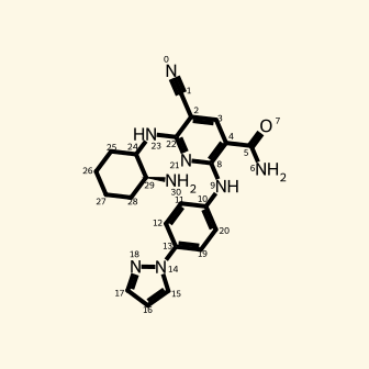 N#Cc1cc(C(N)=O)c(Nc2ccc(-n3cccn3)cc2)nc1NC1CCCC[C@@H]1N